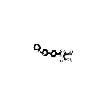 C[C@@H](O)[C@H](NC(=O)c1ccc(-c2ccc(NC3CCCCC3)nc2)cc1)C(=O)NO